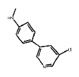 CNc1ccc(-c2cncc(Cl)c2)cc1